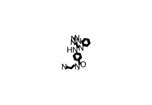 CN(CCC#N)C(=O)c1ccc(Nc2nc3ccccc3n3nnnc23)cc1